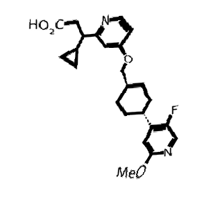 COc1cc([C@H]2CC[C@H](COc3ccnc(C(CC(=O)O)C4CC4)c3)CC2)c(F)cn1